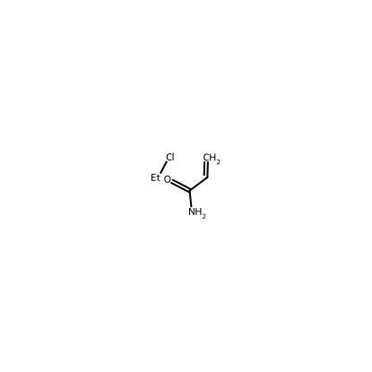 C=CC(N)=O.CCCl